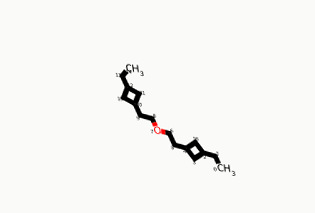 CCC1CC(CCOCCC2CC(CC)C2)C1